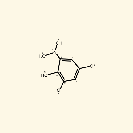 CN(C)c1cc(Cl)cc(Cl)c1O